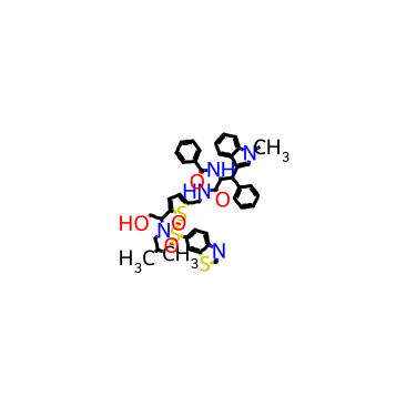 CC(C)CN(C(CO)c1ccc(CNC(=O)C(NC(=O)c2ccccc2)C(c2ccccc2)c2cn(C)c3ccccc23)s1)S(=O)(=O)c1ccc2ncsc2c1